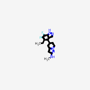 CCc1c(F)c(F)c2[nH]ncc2c1-c1ccn2nc(NC)cc2c1